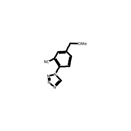 COCc1ccc(-n2cnnn2)c(C#N)c1